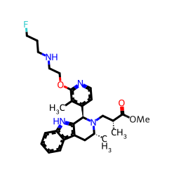 COC(=O)[C@H](C)CN1[C@H](c2ccnc(OCCNCCCF)c2C)c2[nH]c3ccccc3c2C[C@H]1C